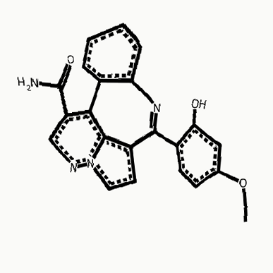 COc1ccc(C2=Nc3ccccc3-c3c(C(N)=O)cnn4ccc2c34)c(O)c1